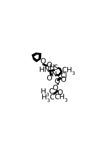 CC(C)(C)C(=O)OCOC(=O)[C@@H]1N2C(=O)[C@@H](NC(=O)COc3ccccc3)[C@H]2SC[C@@]1(C)Cl